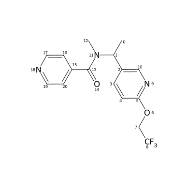 CC(c1ccc(OCC(F)(F)F)nc1)N(C)C(=O)c1ccncc1